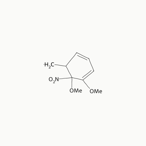 [CH2]C1C=CC=C(OC)C1(OC)[N+](=O)[O-]